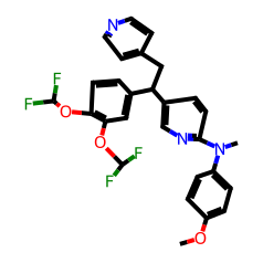 COc1ccc(N(C)c2ccc(C(Cc3ccncc3)c3ccc(OC(F)F)c(OC(F)F)c3)cn2)cc1